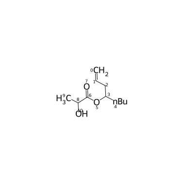 C=CCC(CCCC)OC(=O)C(C)O